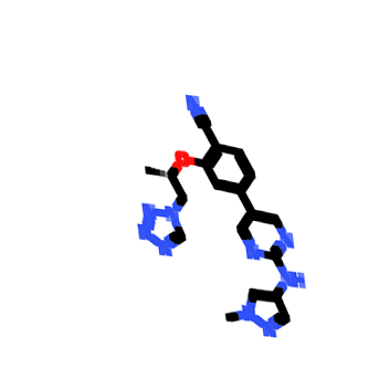 C[C@@H](Cn1cnnn1)Oc1cc(-c2cnc(Nc3cnn(C)c3)nc2)ccc1C#N